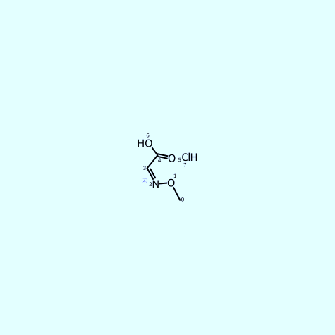 CO/N=C\C(=O)O.Cl